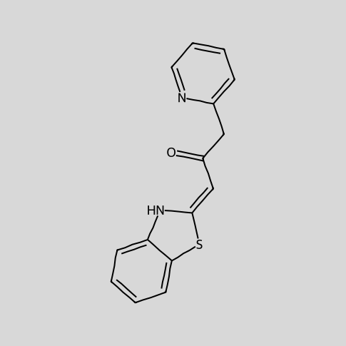 O=C(/C=C1\Nc2ccccc2S1)Cc1ccccn1